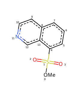 COS(=O)(=O)c1cccc2ccncc12